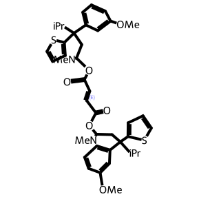 CNC(CC(c1cccc(OC)c1)(c1cccs1)C(C)C)OC(=O)/C=C/C(=O)OC(CC(c1cccc(OC)c1)(c1cccs1)C(C)C)NC